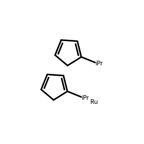 CC(C)C1=CC=CC1.CC(C)C1=CC=CC1.[Ru]